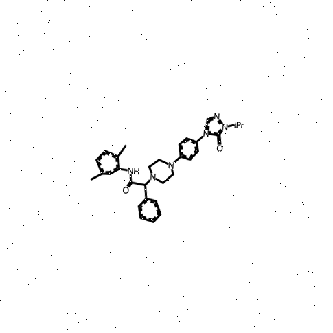 Cc1ccc(C)c(NC(=O)C(c2ccccc2)N2CCN(c3ccc(-n4cnn(C(C)C)c4=O)cc3)CC2)c1